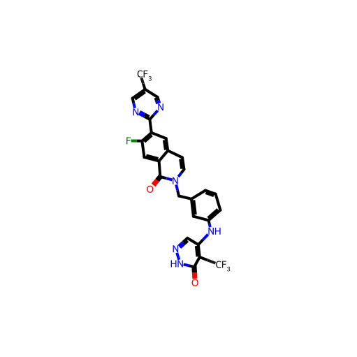 O=c1[nH]ncc(Nc2cccc(Cn3ccc4cc(-c5ncc(C(F)(F)F)cn5)c(F)cc4c3=O)c2)c1C(F)(F)F